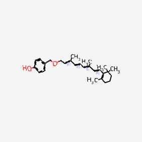 CC1=C(/C=C/C(C)=C/C=C/C(C)=C/COCc2ccc(O)cc2)C(C)(C)CCC1